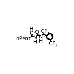 CCCCCC(C)NC(=O)N[C@H](c1cccc(C(F)(F)F)c1)C(F)(F)F